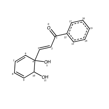 O=C(C=CC1(O)C=CC=CC1O)c1ccccc1